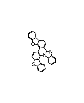 c1ccc2c(c1)nc1c3ccc4c5ccccc5oc4c3c3ccc4sc5ccccc5c4c3n21